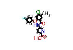 Cc1cc(C(=O)Nc2ccc(C(=O)O)nc2)c(Oc2ccc(F)cc2)cc1Cl